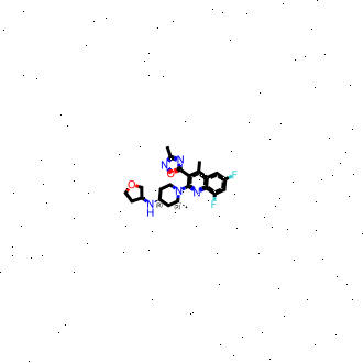 Cc1noc(-c2c(N3CC[C@@H](NC4CCOC4)C[C@H]3C)nc3c(F)cc(F)cc3c2C)n1